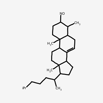 CC(C)CCCC(C)C1CCC2C3=CCC4C(C)C(N=O)CCC4(C)C3CCC21C